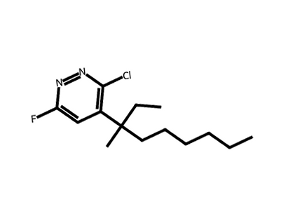 CCCCCCC(C)(CC)c1cc(F)nnc1Cl